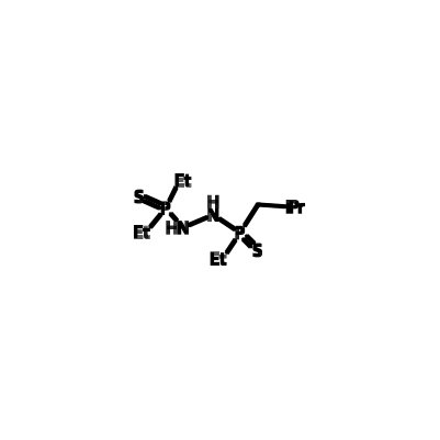 CCP(=S)(CC)NNP(=S)(CC)CC(C)C